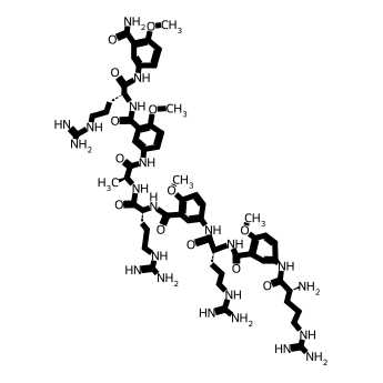 COc1ccc(NC(=O)[C@@H](CCCNC(=N)N)NC(=O)c2cc(NC(=O)[C@H](C)NC(=O)[C@@H](CCCNC(=N)N)NC(=O)c3cc(NC(=O)[C@@H](CCCNC(=N)N)NC(=O)c4cc(NC(=O)[C@H](N)CCCNC(=N)N)ccc4OC)ccc3OC)ccc2OC)cc1C(N)=O